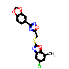 Cc1cc(Cl)cc2nc(SCc3nc(-c4ccc5c(c4)OCO5)no3)oc12